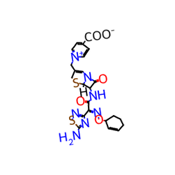 Nc1nc(C(=NOC2C=CCCC2)C(=O)NC2C(=O)N3C=C(C[n+]4ccc(C(=O)[O-])cc4)CS[C@@H]23)ns1